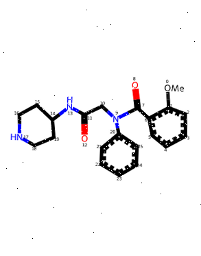 COc1ccccc1C(=O)N(CC(=O)NC1CCNCC1)c1ccccc1